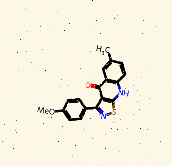 COc1ccc(-c2nsc3[nH]c4ccc(C)cc4c(=O)c23)cc1